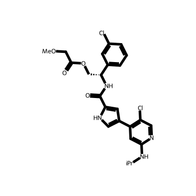 COCC(=O)OC[C@@H](NC(=O)c1cc(-c2cc(NC(C)C)ncc2Cl)c[nH]1)c1cccc(Cl)c1